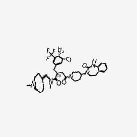 CN1CCC(CN(C)C(=O)[C@H](CC(=O)N2CCC(N3CCc4ccccc4NC3=O)CC2)Cc2cc(Cl)c(N)c(C(F)(F)F)c2)CC1